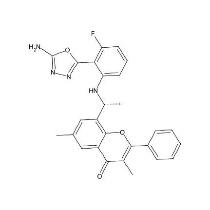 Cc1cc([C@@H](C)Nc2cccc(F)c2-c2nnc(N)o2)c2oc(-c3ccccc3)c(C)c(=O)c2c1